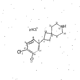 Cl.Clc1ccc(C2CC3(CCNCC3)C2)cc1Cl